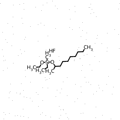 CCCCCCCCC(C)O[Si](C)(CC)OCC.F